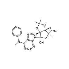 C=C[C@@]1(C)C[C@@](O)(c2cnn3c(N(C)c4ccccc4)ncnc23)[C@@H]2OC(C)(C)O[C@@H]21